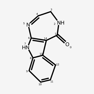 O=C1NCC=Nc2[nH]c3ccccc3c21